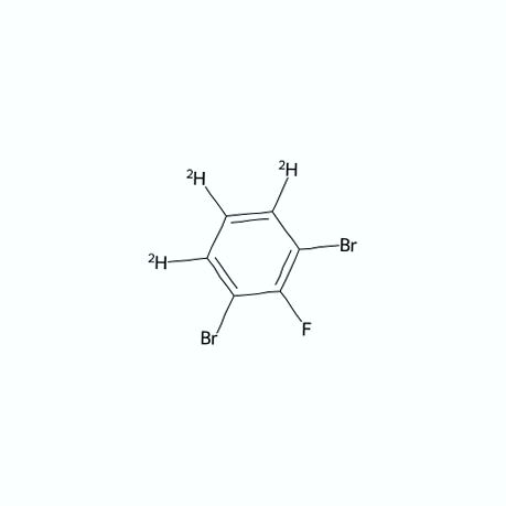 [2H]c1c([2H])c(Br)c(F)c(Br)c1[2H]